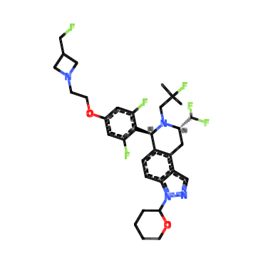 CC(C)(F)CN1[C@H](c2c(F)cc(OCCN3CC(CF)C3)cc2F)c2ccc3c(cnn3C3CCCCO3)c2C[C@H]1C(F)F